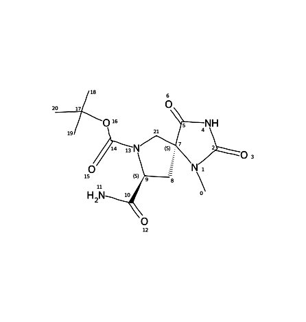 CN1C(=O)NC(=O)[C@@]12C[C@@H](C(N)=O)N(C(=O)OC(C)(C)C)C2